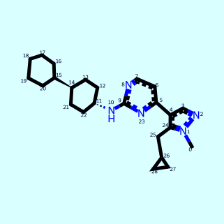 Cn1ncc(-c2ccnc(N[C@H]3CC[C@H](C4CCCCC4)CC3)n2)c1CC1CC1